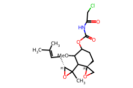 COC1C(OC(=O)NC(=O)CCl)CC[C@]2(CO2)C1C1(C)O[C@@H]1CC=C(C)C